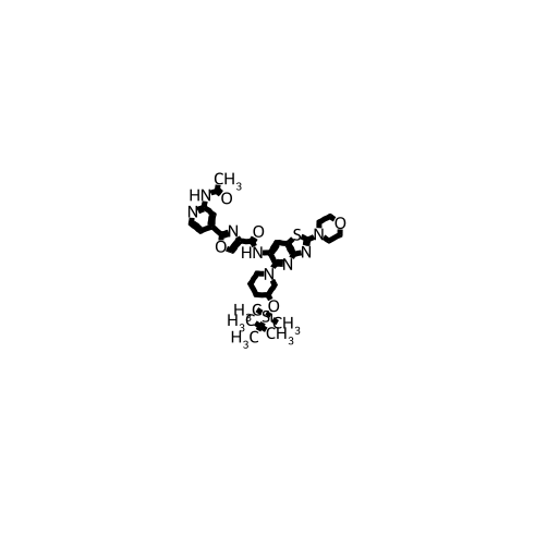 CC(=O)Nc1cc(-c2nc(C(=O)Nc3cc4sc(N5CCOCC5)nc4nc3N3CCCC(O[Si](C)(C)C(C)(C)C)C3)co2)ccn1